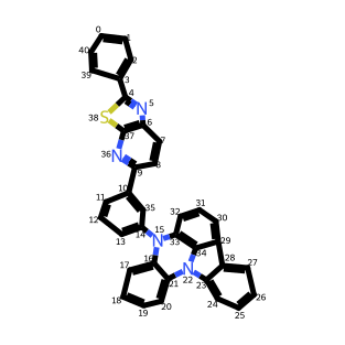 c1ccc(-c2nc3ccc(-c4cccc(N5c6ccccc6-n6c7ccccc7c7cccc5c76)c4)nc3s2)cc1